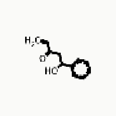 C=CC(=O)CC(O)c1ccccc1